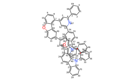 c1ccc(-c2cc(-c3cccc4oc5ccc(-c6ccc7c(c6)c6ccc8c9ccccc9n(-c9ccccc9)c8c6n7-c6ccccc6)cc5c34)cc(-c3ccc4c(c3)oc3ccccc34)n2)cc1